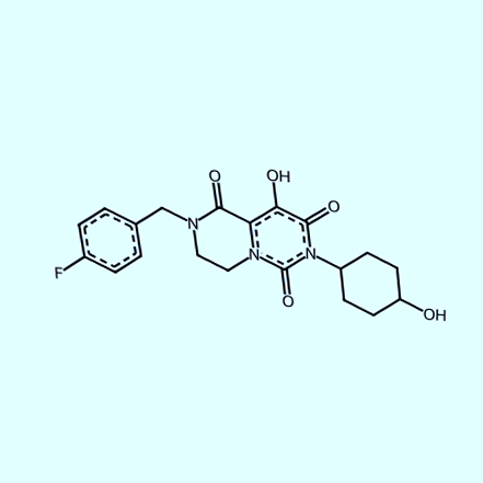 O=C1c2c(O)c(=O)n(C3CCC(O)CC3)c(=O)n2CCN1Cc1ccc(F)cc1